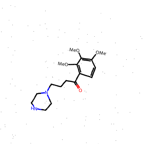 COc1ccc(C(=O)CCCN2CCNCC2)c(OC)c1OC